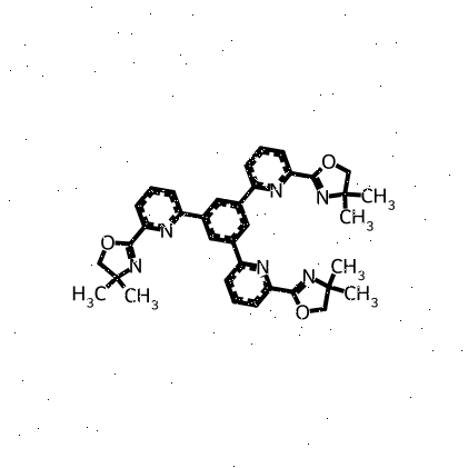 CC1(C)COC(c2cccc(-c3cc(-c4cccc(C5=NC(C)(C)CO5)n4)cc(-c4cccc(C5=NC(C)(C)CO5)n4)c3)n2)=N1